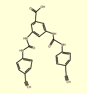 C#Cc1ccc(NC(=O)Nc2cc(NC(=O)Nc3ccc(C#C)cc3)cc(C(=O)O)c2)cc1